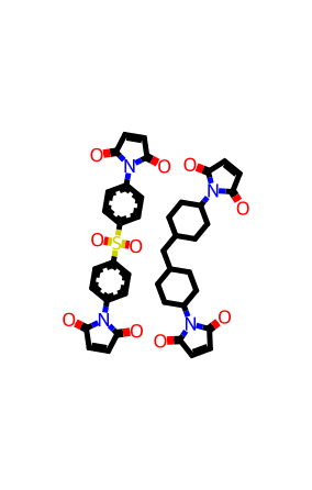 O=C1C=CC(=O)N1C1CCC(CC2CCC(N3C(=O)C=CC3=O)CC2)CC1.O=C1C=CC(=O)N1c1ccc(S(=O)(=O)c2ccc(N3C(=O)C=CC3=O)cc2)cc1